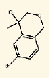 CC1(O)COCc2ccc(Br)cc21